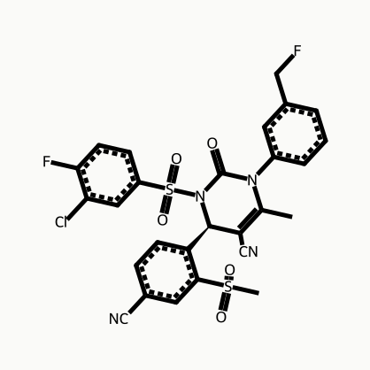 CC1=C(C#N)[C@@H](c2ccc(C#N)cc2S(C)(=O)=O)N(S(=O)(=O)c2ccc(F)c(Cl)c2)C(=O)N1c1cccc(CF)c1